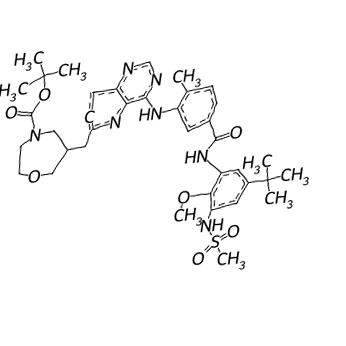 COc1c(NC(=O)c2ccc(C)c(Nc3ncnc4ccc(CC5COCCN(C(=O)OC(C)(C)C)C5)nc34)c2)cc(C(C)(C)C)cc1NS(C)(=O)=O